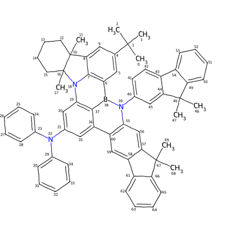 CC(C)(C)c1cc2c3c(c1)C1(C)CCCCC1(C)N3c1cc(N(c3ccccc3)c3ccccc3)cc3c1B2N(c1ccc2c(c1)C(C)(C)c1ccccc1-2)c1cc2c(cc1-3)-c1ccccc1C2(C)C